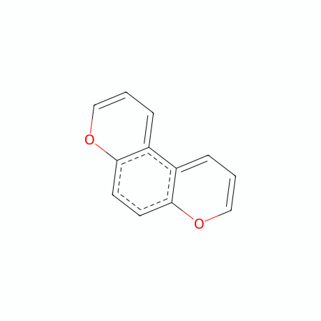 C1=COc2ccc3c(c2=C1)=CC=CO3